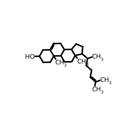 CC(C)=CCCC(C)C1CCC2C3CC=C4CC(O)CCC4(C)C3CCC12C